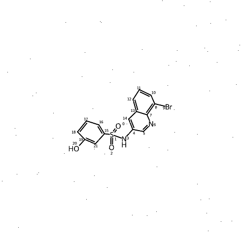 O=S(=O)(Nc1cnc2c(Br)cccc2c1)c1cccc(O)c1